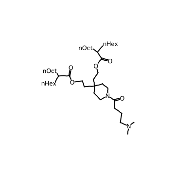 CCCCCCCCC(CCCCCC)C(=O)OCCC1(CCOC(=O)C(CCCCCC)CCCCCCCC)CCN(C(=O)CCCN(C)C)CC1